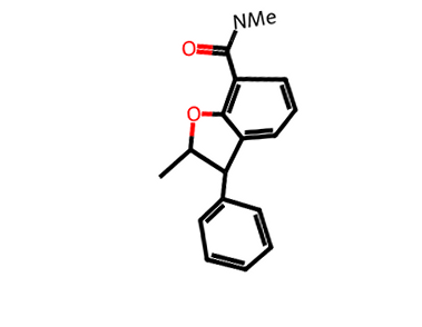 CNC(=O)c1cccc2c1OC(C)C2c1ccccc1